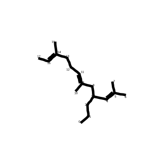 C[CH]CC(C=C(C)C)CC(C)=CCCC(C)=CC